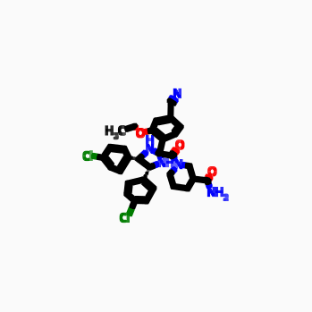 CCOc1cc(C#N)ccc1C1(C(=O)N2CCCC(C(N)=O)C2)N[C@H](c2ccc(Cl)cc2)[C@H](c2ccc(Cl)cc2)N1